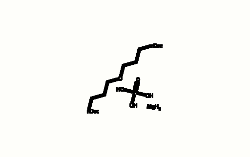 CCCCCCCCCCCCCOCCCCCCCCCCCCC.O=P(O)(O)O.[MgH2]